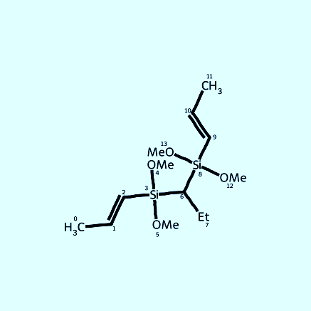 CC=C[Si](OC)(OC)C(CC)[Si](C=CC)(OC)OC